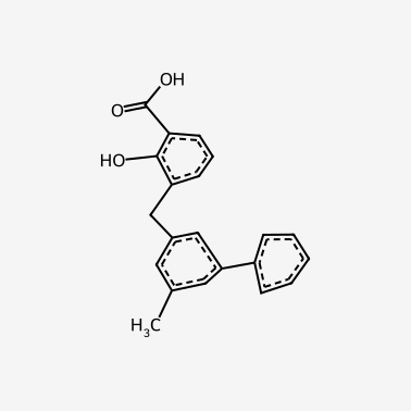 Cc1cc(Cc2cccc(C(=O)O)c2O)cc(-c2ccccc2)c1